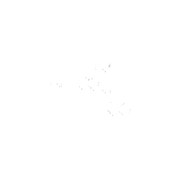 CC(=O)NC1CCN(c2nc(NCc3cnc4ccccc4c3)c3c(n2)C(=O)N(C(C)C)C3)C1